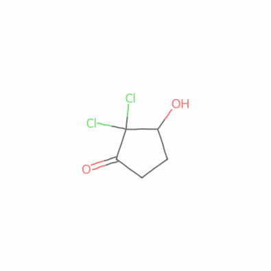 O=C1CCC(O)C1(Cl)Cl